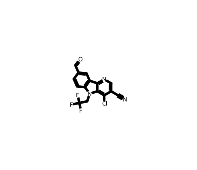 N#Cc1cnc2c3cc(C=O)ccc3n(CC(F)(F)F)c2c1Cl